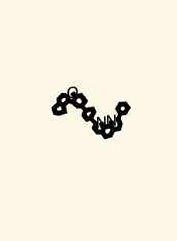 c1ccc(-c2ccc3ccc4ccc(-c5ccc(-c6ccc7oc8ccc9ccccc9c8c7c6)cc5)nc4c3n2)cc1